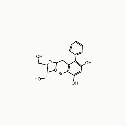 OC[C@H]1OC(Cc2c(Br)c(O)cc(O)c2-c2ccccc2)O[C@@H]1CO